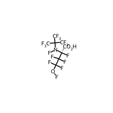 O=C(O)[C@@](F)(N(F)C(C(F)(F)F)(C(F)(F)F)C(F)(F)F)C(F)(F)C(F)(F)OF